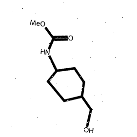 COC(=O)NC1CCC(CO)CC1